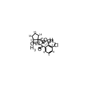 Cc1c(Cl)cccc1S(=O)(=O)NC1(C(=O)O)CCCC1C